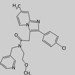 COCCN(Cc1cccnc1)C(=O)Cc1c(-c2ccc(Cl)cc2)nc2cc(C)ccn12